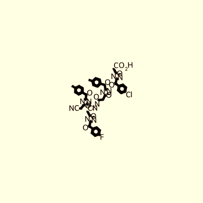 Cc1ccc(C(=O)c2noc(CC#N)n2)cc1.Cc1ccc(C(=O)c2noc(CC(N)=O)n2)cc1.N#CCc1nc(C(=O)c2ccc(F)cc2)no1.O=C(O)Cc1nc(C(=O)c2ccc(Cl)cc2)no1